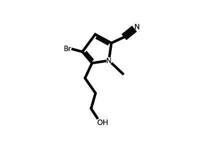 Cn1c(C#N)cc(Br)c1CCCO